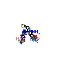 CCc1ccc(F)c(C(c2cc3cc(N)ccc3c(N)n2)c2nc(-c3cncnc3)nn2C)c1.O=C(O)C(F)(F)F.O=C(O)C(F)(F)F